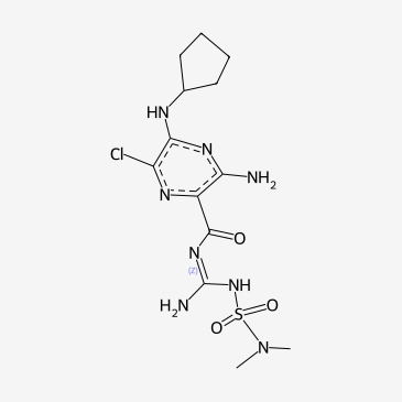 CN(C)S(=O)(=O)N/C(N)=N\C(=O)c1nc(Cl)c(NC2CCCC2)nc1N